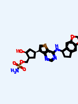 NS(=O)(=O)OC[C@@H]1C[C@@H](c2csc3c(NC4CCc5cc6c(cc54)OCO6)ncnc23)C[C@@H]1O